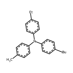 CCc1ccc(N(c2ccc(C)cc2)c2ccc(C(C)CC)cc2)cc1